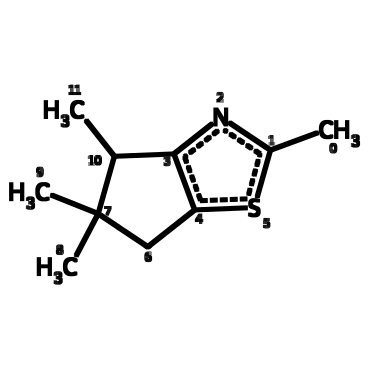 Cc1nc2c(s1)CC(C)(C)C2C